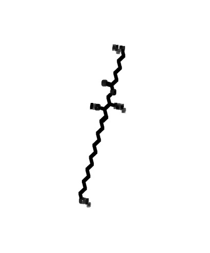 CCCCCCCCCCCCCC=CC(O)C(N)COC(=O)CCCCCN